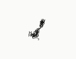 Cc1nc(OCCCC2CCN(c3nc(C(C)C)no3)CC2)ccc1C(=O)NC[C@@H](C)O